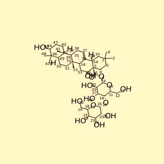 CC1(C)CC[C@]2(C(=O)O[C@H]3OC(CO)[C@H](O[C@H]4OC(CO)[C@H](O)C(O)[C@H]4O)C(O)[C@H]3O)C(O)C[C@]3(C)C(=CC[C@@H]4[C@@]5(C)CC[C@H](O)C(C)(C)[C@@H]5CC[C@]43C)[C@@H]2C1